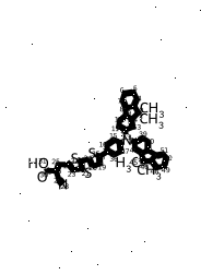 CC1(C)c2ccccc2-c2ccc(N(c3ccc(-c4cc5sc6cc(/C=C(\C#N)C(=O)O)sc6c5s4)cc3)c3ccc4c(c3)C(C)(C)c3ccccc3-4)cc21